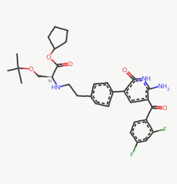 CC(C)(C)OC[C@H](NCCc1ccc(-c2cc(C(=O)c3ccc(F)cc3F)c(N)[nH]c2=O)cc1)C(=O)OC1CCCC1